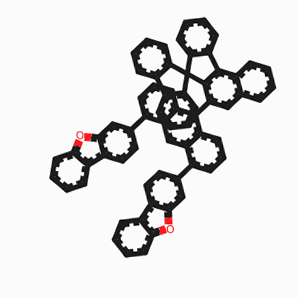 c1ccc2c(c1)-c1ccccc1C21c2ccccc2-c2c1c(-c1c3cccc(-c4ccc5c(c4)oc4ccccc45)c3cc3c(-c4ccc5c(c4)oc4ccccc45)cccc13)cc1ccccc21